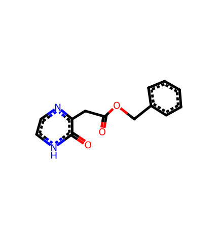 O=C(Cc1ncc[nH]c1=O)OCc1ccccc1